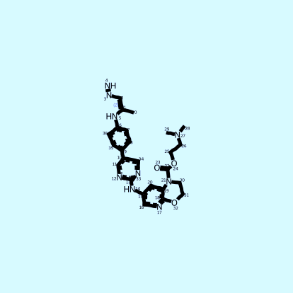 C/C(=C/N=N)Nc1ccc(-c2cnc(Nc3cnc4c(c3)N(C(=O)OCCN(C)C)CCO4)nc2)cc1